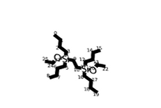 CCCC[Si](CCCC)(CC[Si](CCCC)(CCCC)OCC)OCC